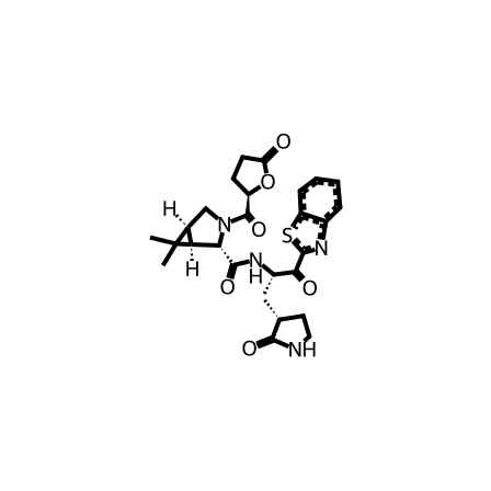 CC1(C)[C@@H]2[C@@H](C(=O)N[C@@H](C[C@@H]3CCNC3=O)C(=O)c3nc4ccccc4s3)N(C(=O)[C@H]3CCC(=O)O3)C[C@@H]21